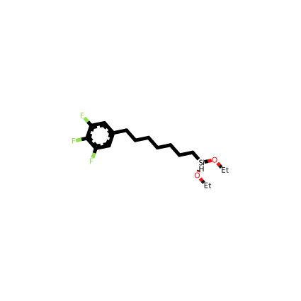 CCO[SiH](CCCCCCCc1cc(F)c(F)c(F)c1)OCC